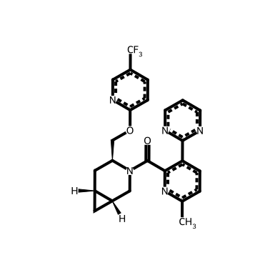 Cc1ccc(-c2ncccn2)c(C(=O)N2C[C@@H]3C[C@@H]3C[C@H]2COc2ccc(C(F)(F)F)cn2)n1